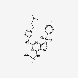 Cc1ccc(S(=O)(=O)n2ccc3c(N[C@@H](C)C4CC4)nc(Nc4cnn(CCN(C)C)c4)nc32)cc1